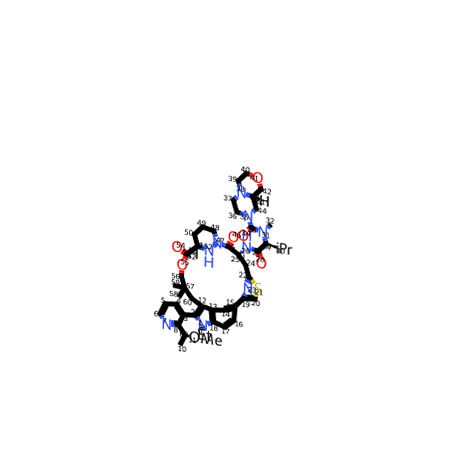 CCn1c(-c2cccnc2[C@H](C)OC)c2c3cc(ccc31)-c1csc(n1)C[C@H](NC(=O)[C@H](C(C)C)N(C)C(=O)N1CCN3CCOC[C@@H]3C1)C(=O)N1CCC[C@H](N1)C(=O)OCC(C)(C)C2